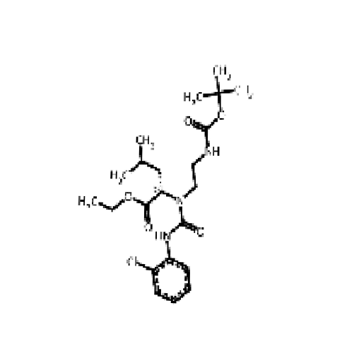 CCOC(=O)[C@H](CC(C)C)N(CCNC(=O)OC(C)(C)C)C(=O)Nc1ccccc1Cl